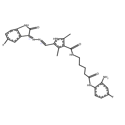 Cc1[nH]c(/C=N/N=C2\C(=O)Nc3ccc(F)cc32)c(C)c1C(=O)NCCCCC(=O)Nc1ccc(F)cc1N